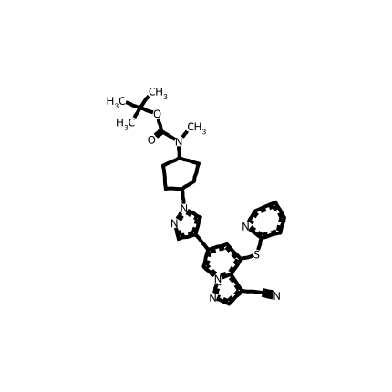 CN(C(=O)OC(C)(C)C)C1CCC(n2cc(-c3cc(Sc4ccccn4)c4c(C#N)cnn4c3)cn2)CC1